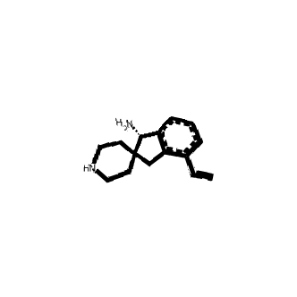 C=Cc1cccc2c1CC1(CCNCC1)[C@@H]2N